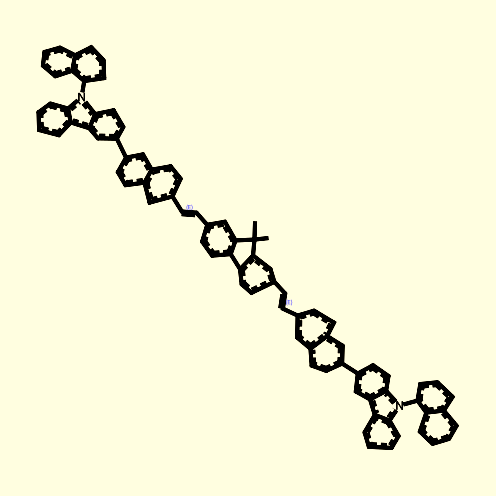 CC1(C)c2cc(/C=C/c3ccc4cc(-c5ccc6c(c5)c5ccccc5n6-c5cccc6ccccc56)ccc4c3)ccc2-c2ccc(/C=C/c3ccc4cc(-c5ccc6c(c5)c5ccccc5n6-c5cccc6ccccc56)ccc4c3)cc21